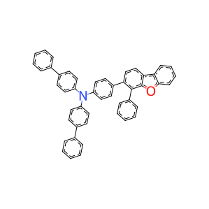 c1ccc(-c2ccc(N(c3ccc(-c4ccccc4)cc3)c3ccc(-c4ccc5c(oc6ccccc65)c4-c4ccccc4)cc3)cc2)cc1